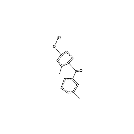 CCOc1ccc(C(=O)c2cccc(C)c2)c(C)c1